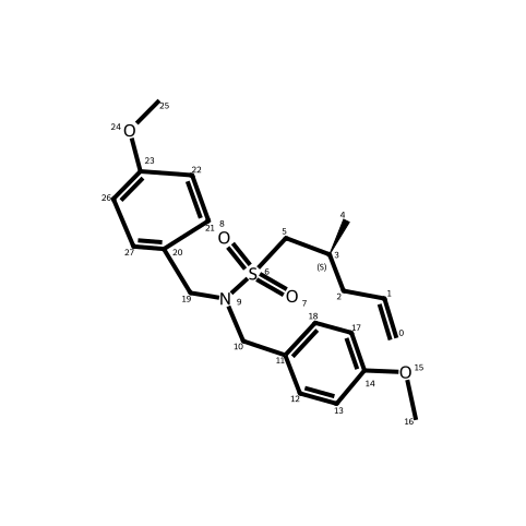 C=CC[C@H](C)CS(=O)(=O)N(Cc1ccc(OC)cc1)Cc1ccc(OC)cc1